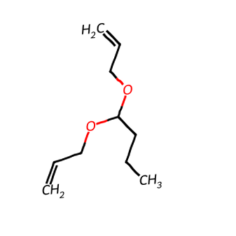 C=CCOC(CCC)OCC=C